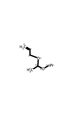 C=CCOC(C)O[CH]CC